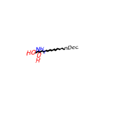 CCCCCCCCCCCCCCCCCCCCCC[C@@H](O)[C@@H](N)CO